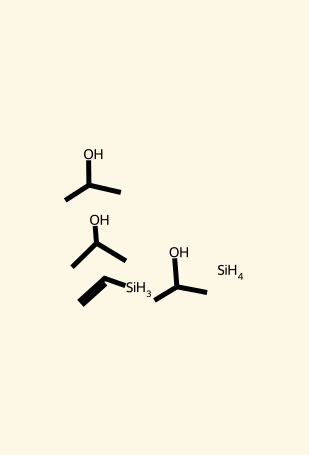 C=C[SiH3].CC(C)O.CC(C)O.CC(C)O.[SiH4]